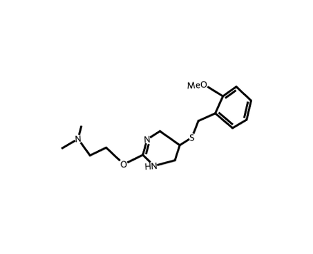 COc1ccccc1CSC1CN=C(OCCN(C)C)NC1